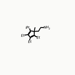 CCC1=C(CC)C(C)(CCN)C(C(C)C)=C1CC